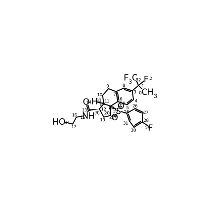 CC(F)(c1ccc2c(c1)CC[C@H]1[C@H](C(=O)NCCO)CC[C@@]21S(=O)(=O)c1ccc(F)cc1)C(F)(F)F